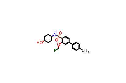 Cc1ccc(-c2ccc(S(=O)(=O)NC3CCC(O)CC3)c(OCF)c2)cc1